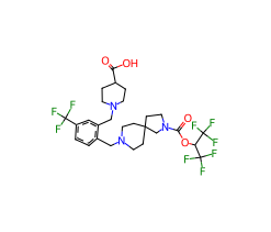 O=C(O)C1CCN(Cc2cc(C(F)(F)F)ccc2CN2CCC3(CC2)CCN(C(=O)OC(C(F)(F)F)C(F)(F)F)C3)CC1